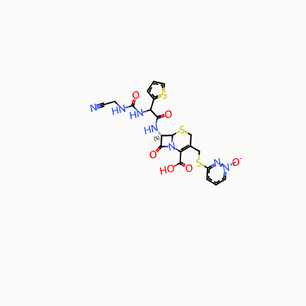 N#CCNC(=O)NC(C(=O)N[C@H]1C(=O)N2C(C(=O)O)=C(CSc3ccc[n+]([O-])n3)CSC12)c1cccs1